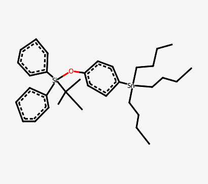 CCC[CH2][Sn]([CH2]CCC)([CH2]CCC)[c]1ccc(O[Si](c2ccccc2)(c2ccccc2)C(C)(C)C)cc1